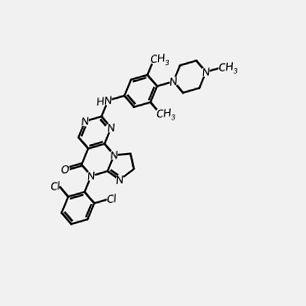 Cc1cc(Nc2ncc3c(n2)N2CCN=C2N(c2c(Cl)cccc2Cl)C3=O)cc(C)c1N1CCN(C)CC1